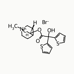 C[N+]12CCC(CC1)[C@@H](OC(=O)C(O)(c1cccs1)c1cccs1)C2.[Br-]